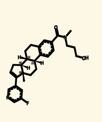 CN(CCCO)C(=O)c1ccc2c(c1)CC[C@@H]1[C@@H]2CC[C@]2(C)C(c3cncc(F)c3)=CC[C@@H]12